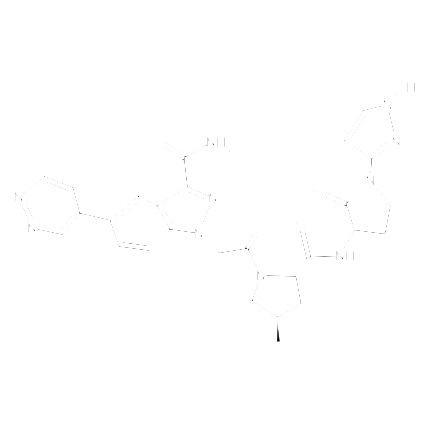 Cn1ccc(N2CCC(NC(=O)[C@@H]3C[C@@H](F)CN3C(=O)Cn3nc(C(N)=O)c4cc(-c5ccnnc5)ccc43)C2=O)n1